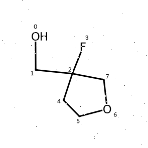 OCC1(F)CCOC1